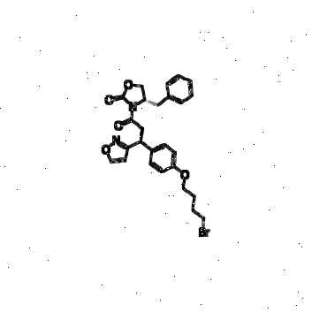 O=C(C[C@@H](c1ccc(OCCCCBr)cc1)c1ccon1)N1C(=O)OC[C@@H]1Cc1ccccc1